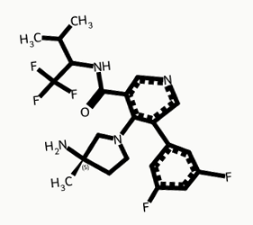 CC(C)C(NC(=O)c1cncc(-c2cc(F)cc(F)c2)c1N1CC[C@](C)(N)C1)C(F)(F)F